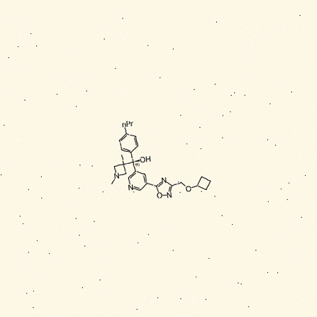 CCCc1ccc([C@](O)(c2cncc(-c3nc(COC4CCC4)no3)c2)C2(C)CN(C)C2)cc1